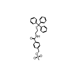 CS(=O)(=O)OCc1ccc(C(=O)NCCSC(c2ccccc2)(c2ccccc2)c2ccccc2)cc1